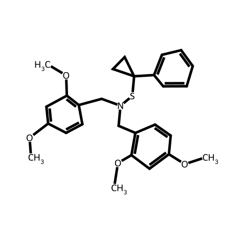 COc1ccc(CN(Cc2ccc(OC)cc2OC)SC2(c3ccccc3)CC2)c(OC)c1